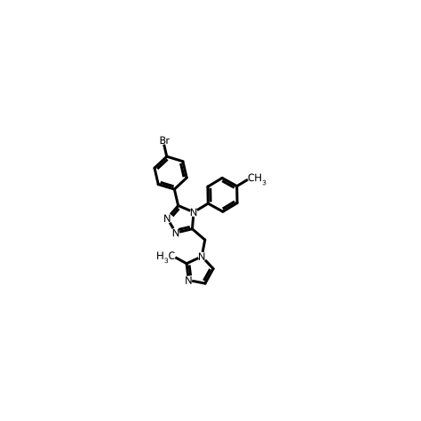 Cc1ccc(-n2c(Cn3ccnc3C)nnc2-c2ccc(Br)cc2)cc1